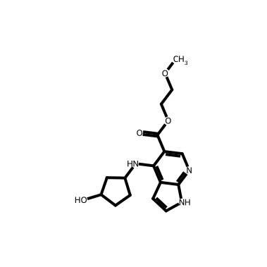 COCCOC(=O)c1cnc2[nH]ccc2c1NC1CCC(O)C1